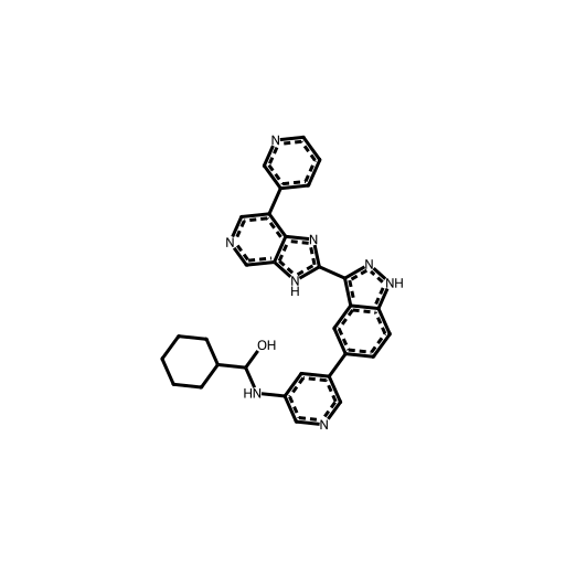 OC(Nc1cncc(-c2ccc3[nH]nc(-c4nc5c(-c6cccnc6)cncc5[nH]4)c3c2)c1)C1CCCCC1